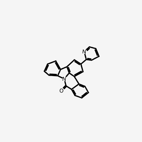 O=c1c2ccccc2c2cc(-c3ccccn3)cc3c4ccccc4n1c23